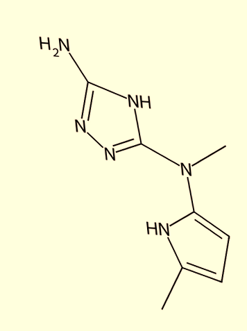 Cc1ccc(N(C)c2nnc(N)[nH]2)[nH]1